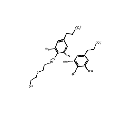 CC(C)(C)c1cc(CCC(=O)O)cc(C(C)(C)C)c1O.CC(C)(C)c1cc(CCC(=O)O)cc(C(C)(C)C)c1O.OCCSCCO